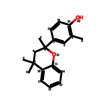 Cc1cc(C2(C)CC(C)(C)c3ccccc3O2)ccc1O